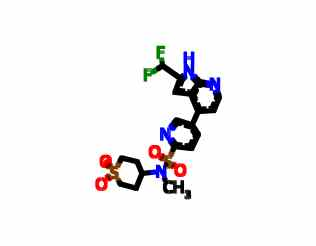 CN(C1CCS(=O)(=O)CC1)S(=O)(=O)c1ccc(-c2ccnc3[nH]c(C(F)F)cc23)cn1